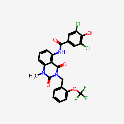 Cn1c(=O)n(Cc2ccccc2OC(F)(F)F)c(=O)c2c(NC(=O)c3cc(Cl)c(O)c(Cl)c3)cccc21